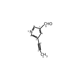 CC#Cc1cncc(C=O)c1